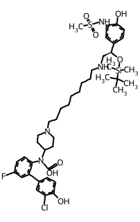 CC(C)(C)[Si](C)(C)O[C@@H](CNCCCCCCCCCN1CCC(N(C(=O)O)c2ccc(F)cc2-c2ccc(O)c(Cl)c2)CC1)c1ccc(O)c(NS(C)(=O)=O)c1